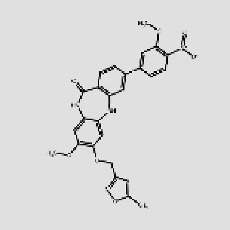 COc1cc2c(cc1OCc1cc(C)on1)Nc1cc(-c3ccc([N+](=O)[O-])c(OC)c3)ccc1C(=O)N2